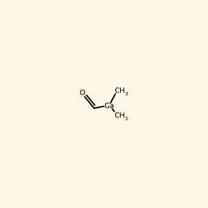 [CH3][Ga]([CH3])[CH]=O